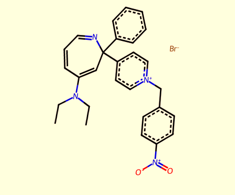 CCN(CC)C1=CC(c2ccccc2)(c2cc[n+](Cc3ccc([N+](=O)[O-])cc3)cc2)N=CC=C1.[Br-]